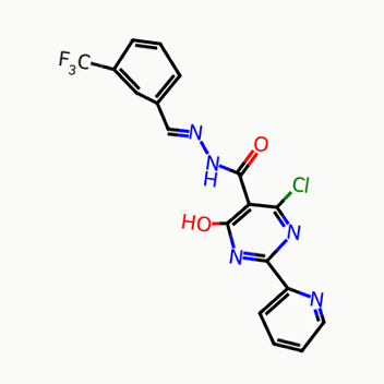 O=C(N/N=C/c1cccc(C(F)(F)F)c1)c1c(O)nc(-c2ccccn2)nc1Cl